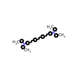 Cc1cccc(N(c2ccc(/C=C/c3ccc(/C=C/c4ccc(/C=C/c5ccc(N(c6cccc(C)c6)c6cccc(C)c6)cc5)cc4)cc3)cc2)c2cccc(C)c2)c1